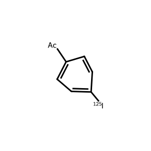 CC(=O)c1ccc([125I])cc1